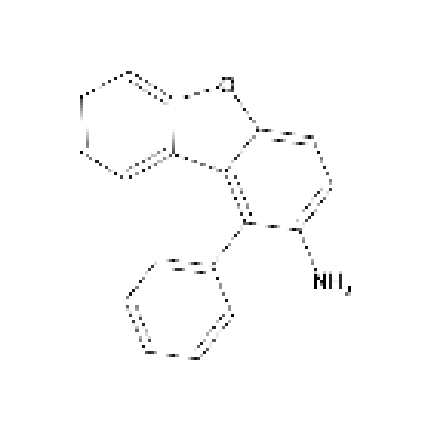 Nc1ccc2oc3ccccc3c2c1-c1ccccc1